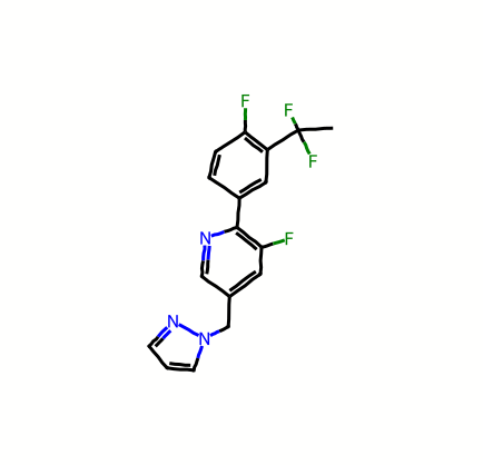 CC(F)(F)c1cc(-c2ncc(Cn3cccn3)cc2F)ccc1F